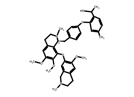 COc1cc2c(cc1Oc1c(OC)c(OC)cc3c1[C@H](Cc1ccc(Oc4cc(C)ccc4C(C)O)cc1)N(C)CC3)CN(C)CC2